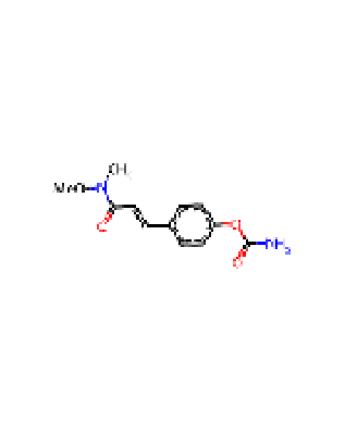 CON(C)C(=O)C=Cc1ccc(OC(N)=O)cc1